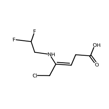 O=C(O)CC=C(CCl)NCC(F)F